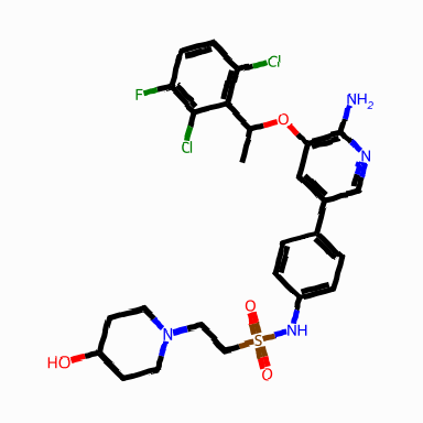 CC(Oc1cc(-c2ccc(NS(=O)(=O)CCN3CCC(O)CC3)cc2)cnc1N)c1c(Cl)ccc(F)c1Cl